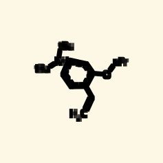 C=Cc1ccccc1OCCC.CC(C)(C)NC(C)(C)C